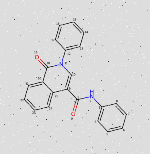 O=C(Nc1ccccc1)c1cn(-c2ccccc2)c(=O)c2ccccc12